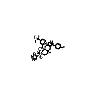 Cn1nncc1S(=O)(=O)N1CC[C@H]2Cc3c(cnn3-c3ccc(F)cc3)C[C@]2(C(=O)c2cc(C(F)(F)F)ccn2)C1